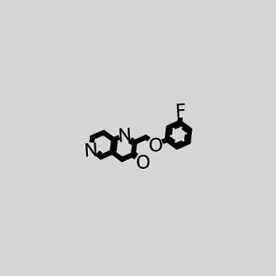 O=C1CC2=C(CCN=C2)N=C1COc1cccc(F)c1